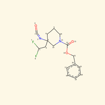 O=C=NC1(CC(F)F)CCCN(C(=O)OCc2ccccc2)C1